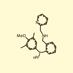 CCCP(c1cc(C)c(OC)c(C)c1)c1ccccc1CNCc1ccccn1